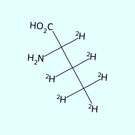 [2H]C([2H])([2H])C([2H])([2H])C([2H])(N)C(=O)O